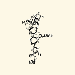 COCOc1cc(C2=CC(=O)N(C(=O)OC(C)(C)C)C2)ccc1-c1cnc(N(C)C2CC3CCC(C2F)N3C(=O)O)cn1